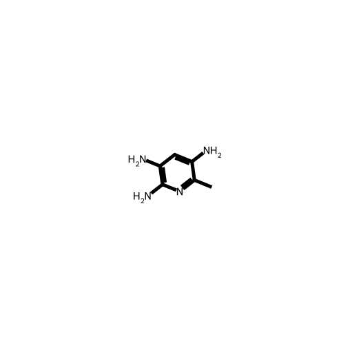 Cc1nc(N)c(N)cc1N